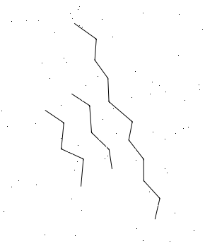 CCCCC.CCCCC.CCCCCCCCCCC